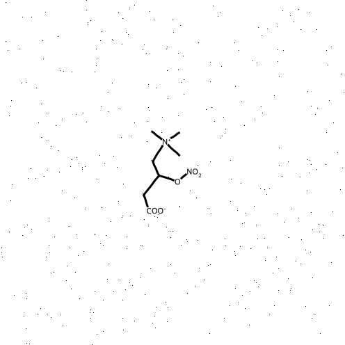 C[N+](C)(C)CC(CC(=O)[O-])O[N+](=O)[O-]